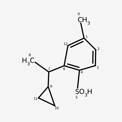 Cc1ccc(S(=O)(=O)O)c(C(C)C2CC2)c1